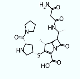 C[C@H]1C(S[C@@H]2CN[C@H](C(=O)N3CCCC3)C2)=C(C(=O)O)N2C(=O)[C@H]([C@@H](C)NC(=O)CC(N)=O)C12